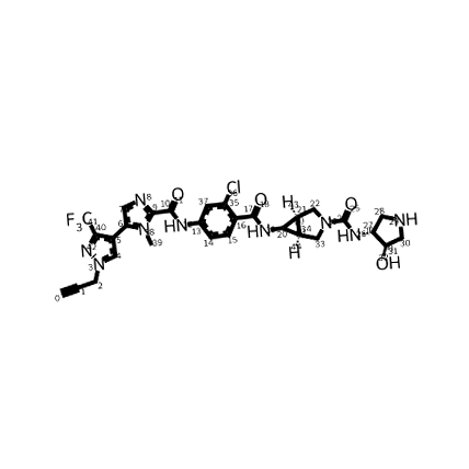 C#CCn1cc(-c2cnc(C(=O)Nc3ccc(C(=O)NC4[C@H]5CN(C(=O)N[C@@H]6CNC[C@H]6O)C[C@@H]45)c(Cl)c3)n2C)c(C(F)(F)F)n1